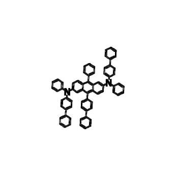 c1ccc(-c2ccc(-c3c4ccc(N(c5ccccc5)c5ccc(-c6ccccc6)cc5)cc4c(-c4ccccc4)c4ccc(N(c5ccccc5)c5ccc(-c6ccccc6)cc5)cc34)cc2)cc1